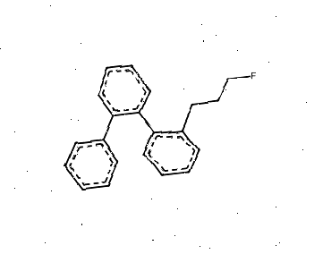 FCCCc1ccccc1-c1ccccc1-c1ccccc1